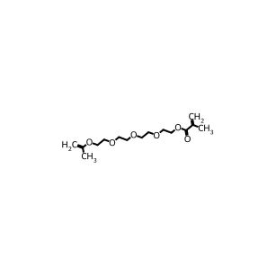 C=C(C)OCCOCCOCCOCCOC(=O)C(=C)C